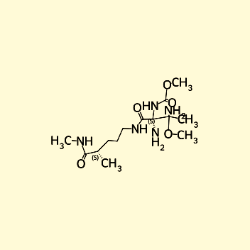 CNC(=O)[C@@H](C)CCCNC(=O)[C@@](N)(NC(=O)OC)C(C)(N)OC